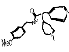 COc1ccc(CNC(=O)N(Cc2ccncc2)C2CCN(C)CC2)cc1